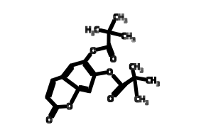 CC(C)(C)C(=O)Oc1cc2ccc(=O)oc2cc1OC(=O)C(C)(C)C